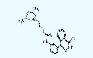 CC1CN(CCCCC(=O)Nc2cccc(-c3n[nH]c(=O)c4ccccc34)c2)CC(C)O1